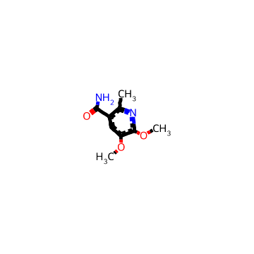 COc1cc(C(N)=O)c(C)nc1OC